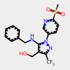 CS(=O)(=O)c1ccc(-n2nc(C(F)(F)F)c(CO)c2NCc2ccccc2)cn1